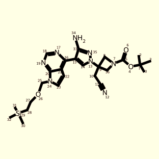 CC(C)(C)OC(=O)N1CC(CC#N)(n2cc(-c3ncnc4c3ccn4COCC[Si](C)(C)C)c(N)n2)C1